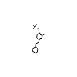 Cc1cc(/C=C/c2ccccc2)ccc1O[Si](C)(C)C(C)(C)C